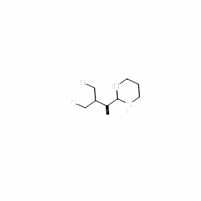 NCC(CN)C(=O)C1NCCCN1